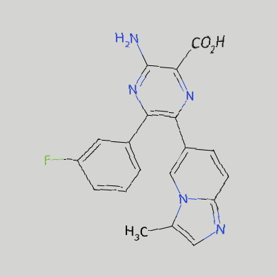 Cc1cnc2ccc(-c3nc(C(=O)O)c(N)nc3-c3cccc(F)c3)cn12